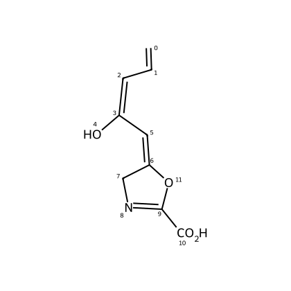 C=C/C=C(O)\C=C1/CN=C(C(=O)O)O1